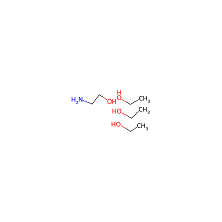 CCO.CCO.CCO.NCCO